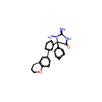 N=C1NC(=O)C(c2ccccc2)(c2cccc(-c3ccc4c(c3)CCCO4)c2)N1N